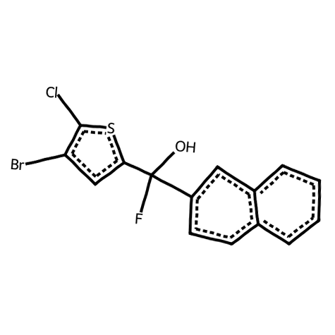 OC(F)(c1ccc2ccccc2c1)c1cc(Br)c(Cl)s1